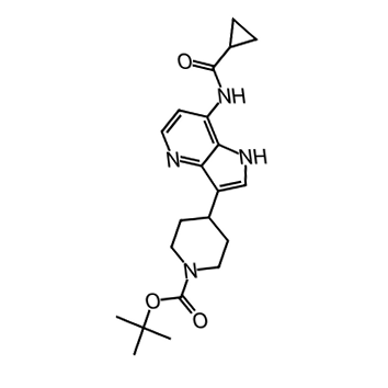 CC(C)(C)OC(=O)N1CCC(c2c[nH]c3c(NC(=O)C4CC4)ccnc23)CC1